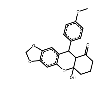 COc1ccc(C2c3cc4c(cc3OC3(O)CCCC(=O)C23)OCO4)cc1